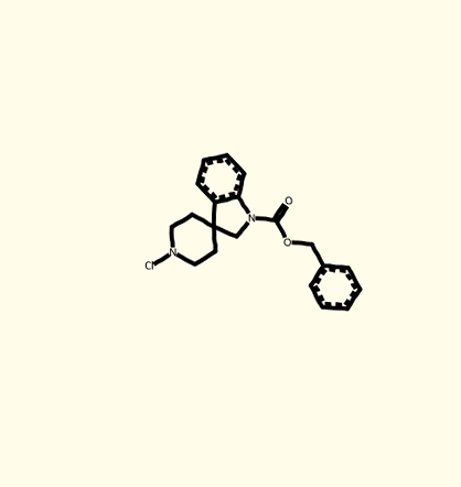 O=C(OCc1ccccc1)N1CC2(CCN(Cl)CC2)c2ccccc21